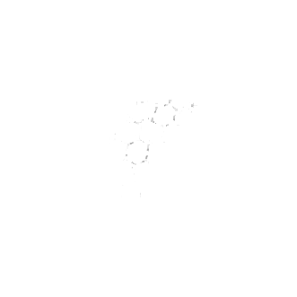 O=C(O)CCc1cc(O)c2c(c1)Cc1cc(O)cc(O)c1C2=O